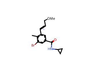 COC/C=C/c1cc(C(=O)NC2CC2)cc(Br)c1C